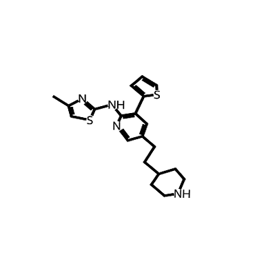 Cc1csc(Nc2ncc(CCC3CCNCC3)cc2-c2cccs2)n1